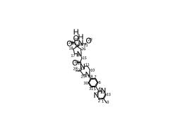 Cc1cnc(-c2ccc(N3CCN(C(=O)CN4CCC(NC=O)(C(=O)O)C4)C(C)C3)cc2)nc1